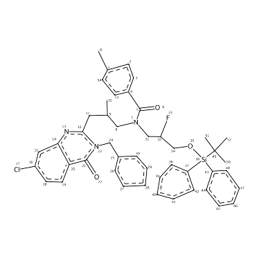 Cc1ccc(C(=O)N(CC(C)Cc2nc3cc(Cl)ccc3c(=O)n2Cc2ccccc2)CC(F)CO[Si](c2ccccc2)(c2ccccc2)C(C)(C)C)cc1